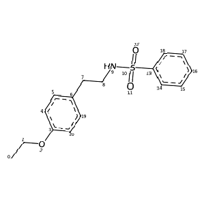 CCOc1ccc(CCNS(=O)(=O)c2ccccc2)cc1